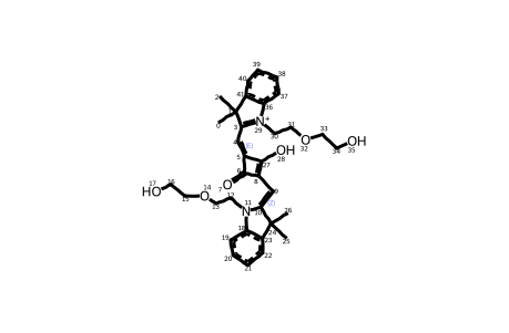 CC1(C)C(/C=C2/C(=O)C(/C=C3\N(CCOCCO)c4ccccc4C3(C)C)=C2O)=[N+](CCOCCO)c2ccccc21